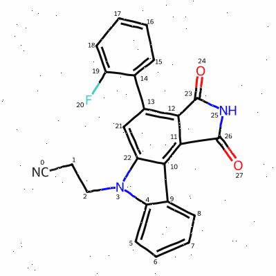 N#CCCn1c2ccccc2c2c3c(c(-c4ccccc4F)cc21)C(=O)NC3=O